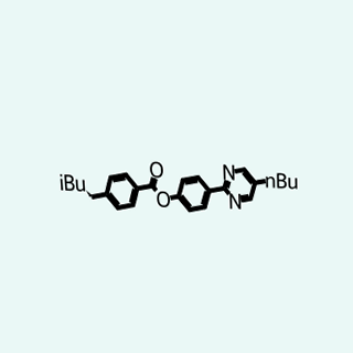 CCCCc1cnc(-c2ccc(OC(=O)c3ccc(C[C@@H](C)CC)cc3)cc2)nc1